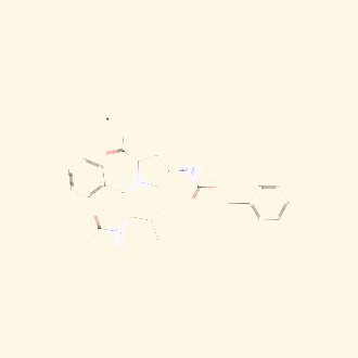 CCC(CNC(C)=O)C[C@H]1[C@H](NC(=O)OCc2ccccc2)C[C@H](C(=O)OC(C)(C)C)N1Cc1ccccc1